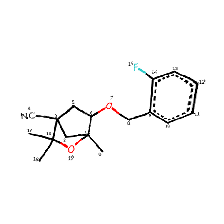 CC12CC(C#N)(CC1OCc1ccccc1F)C(C)(C)O2